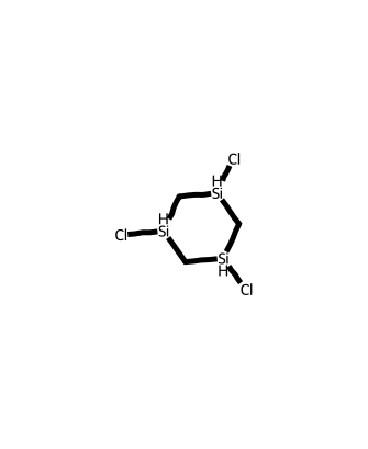 Cl[SiH]1C[SiH](Cl)C[SiH](Cl)C1